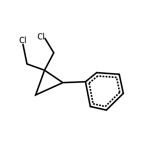 ClCC1(CCl)CC1c1ccccc1